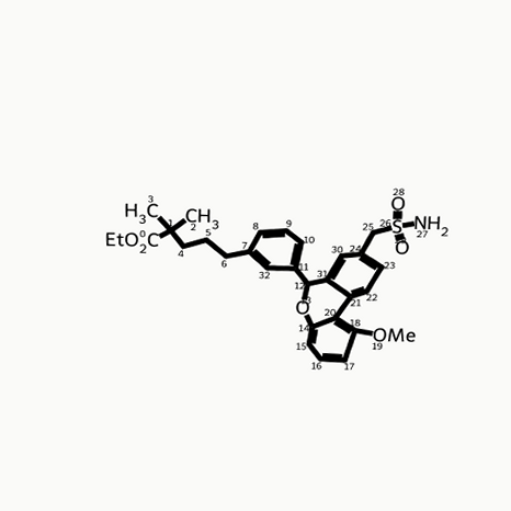 CCOC(=O)C(C)(C)CCCc1cccc(C2Oc3cccc(OC)c3-c3ccc(CS(N)(=O)=O)cc32)c1